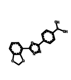 OB(O)c1ccc(-c2nnc(-c3cccc4c3OCO4)o2)cc1